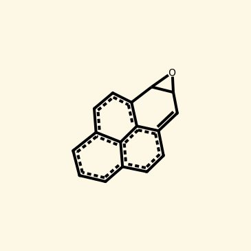 C1=c2ccc3cccc4ccc(c2c43)C2OC12